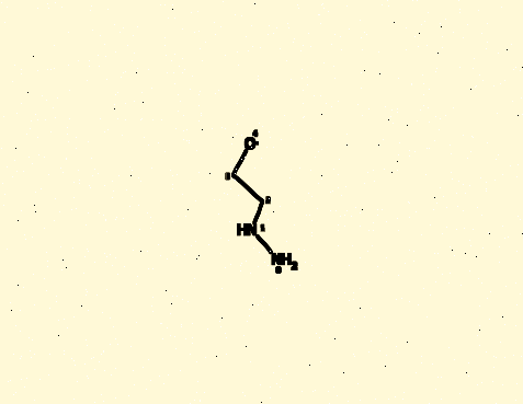 NNCC[O]